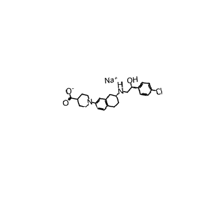 O=C([O-])C1CCN(c2ccc3c(c2)C[C@@H](NC[C@@H](O)c2ccc(Cl)cc2)CC3)CC1.[Na+]